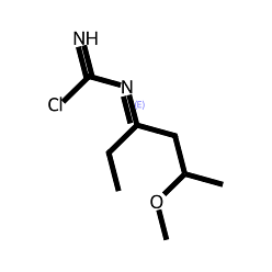 CC/C(CC(C)OC)=N\C(=N)Cl